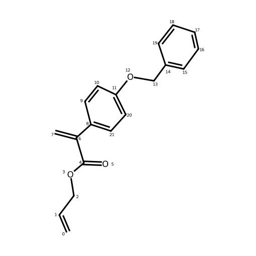 C=CCOC(=O)C(=C)c1ccc(OCc2ccccc2)cc1